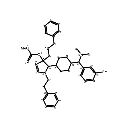 COC(=O)OC1(CSCc2ccccc2)N=CN(CCc2ccccc2)C1C1CCC(C(c2cccc(F)c2)N(C)C)CC1